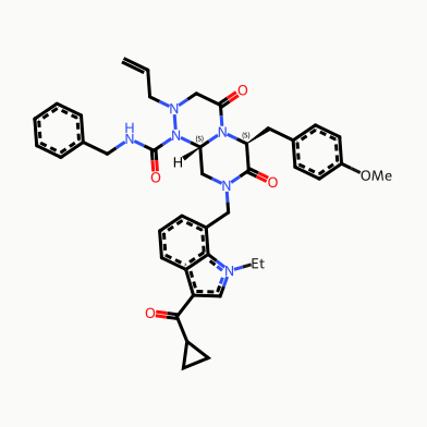 C=CCN1CC(=O)N2[C@@H](Cc3ccc(OC)cc3)C(=O)N(Cc3cccc4c(C(=O)C5CC5)cn(CC)c34)C[C@@H]2N1C(=O)NCc1ccccc1